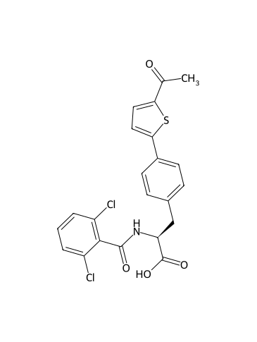 CC(=O)c1ccc(-c2ccc(C[C@H](NC(=O)c3c(Cl)cccc3Cl)C(=O)O)cc2)s1